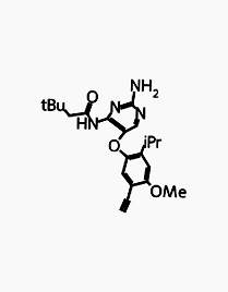 C#Cc1cc(Oc2cnc(N)nc2NC(=O)CC(C)(C)C)c(C(C)C)cc1OC